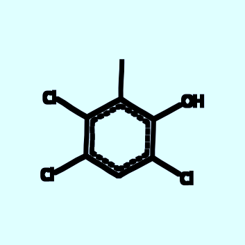 Cc1c(O)c(Cl)cc(Cl)c1Cl